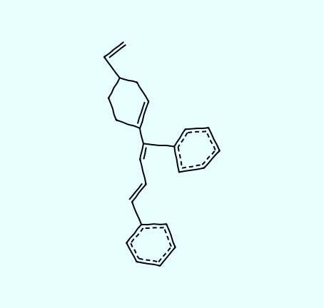 C=CC1CC=C(C(=CC=Cc2ccccc2)c2ccccc2)CC1